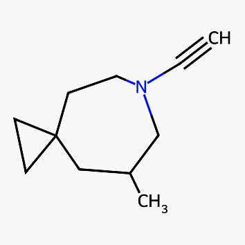 C#CN1CCC2(CC2)CC(C)C1